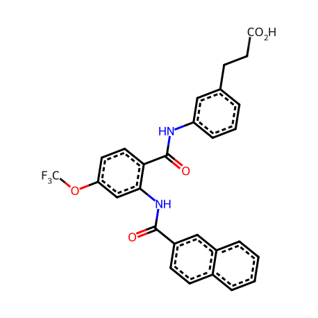 O=C(O)CCc1cccc(NC(=O)c2ccc(OC(F)(F)F)cc2NC(=O)c2ccc3ccccc3c2)c1